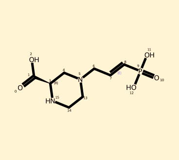 O=C(O)[C@H]1CN(C/C=C/P(=O)(O)O)CCN1